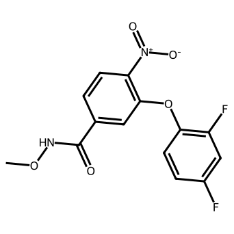 CONC(=O)c1ccc([N+](=O)[O-])c(Oc2ccc(F)cc2F)c1